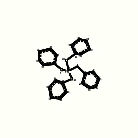 c1ccc([CH2][Hf]([O]c2ccccc2)([O]c2ccccc2)[O]c2ccccc2)cc1